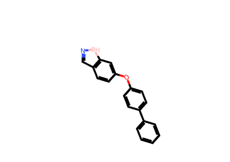 B1N=Cc2ccc(Oc3ccc(-c4ccccc4)cc3)cc21